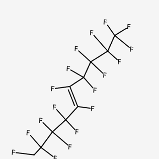 FCC(F)(F)C(F)(F)C(F)(F)C(F)=C(F)C(F)(F)C(F)(F)C(F)(F)C(F)(F)F